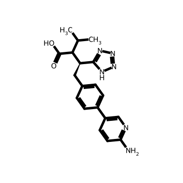 CC(C)C(C(=O)O)[C@H](Cc1ccc(-c2ccc(N)nc2)cc1)c1nnn[nH]1